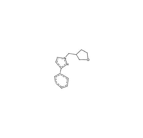 c1ccc(-c2ccn(CC3CCOC3)n2)cc1